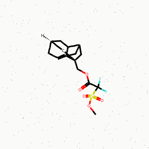 COS(=O)(=O)C(F)(F)C(=O)OCC12CC3CC4=C1C3C[C@H](C4)C2